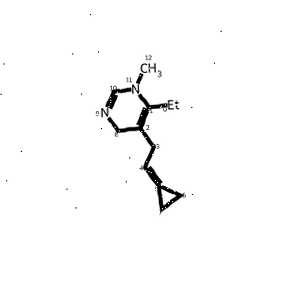 CCC1=C(CC=C2CC2)CN=CN1C